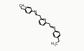 CCc1ccc(N=CCc2cccc(CC=Nc3ccc(CC)cc3)n2)cc1